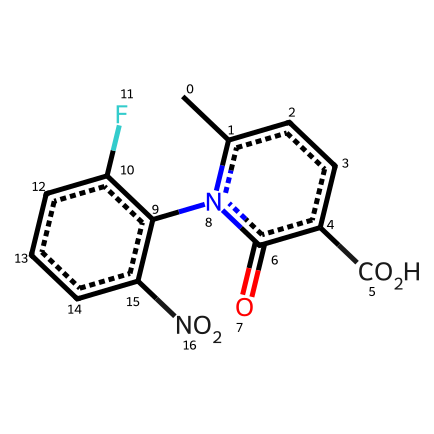 Cc1ccc(C(=O)O)c(=O)n1-c1c(F)cccc1[N+](=O)[O-]